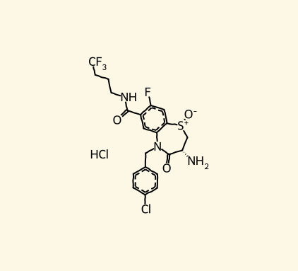 Cl.N[C@H]1C[S@@+]([O-])c2cc(F)c(C(=O)NCCCC(F)(F)F)cc2N(Cc2ccc(Cl)cc2)C1=O